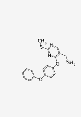 CSc1ncc(CN)c(Oc2ccc(Oc3ccccc3)cc2)n1